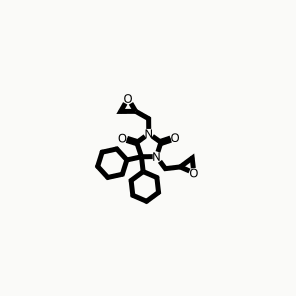 O=C1N(CC2CO2)C(=O)C(C2CCCCC2)(C2CCCCC2)N1CC1CO1